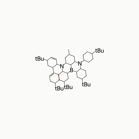 CC1CC2C3B(C4CC(C(C)(C)C)CCC4N2C2CCC(C(C)(C)C)CC2)C2CC(C(C)(C)C)CCC2N(C2C=CC(C(C)(C)C)CC2C2=CCC(C(C)(C)C)CC2)C3C1